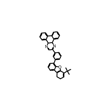 CC(C)(C)C1=CCCc2c1oc1c(-c3cccc(C4=NC5c6ccccc6-c6ccccc6C5N=C4)c3)cccc21